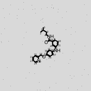 CC(C)CCNC(=O)c1cccc(Nc2ccc(OCc3ccccn3)cc2)c1